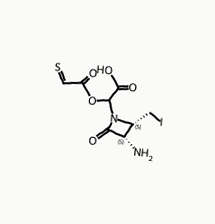 N[C@@H]1C(=O)N(C(OC(=O)C=S)C(=O)O)[C@@H]1CI